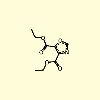 CCOC(=O)c1ncoc1C(=O)OCC